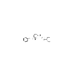 O=C(NNC(=O)[C@@H]1CC[C@@H]2CN1C(=O)N2OCc1ccccc1)C1CCOCC1